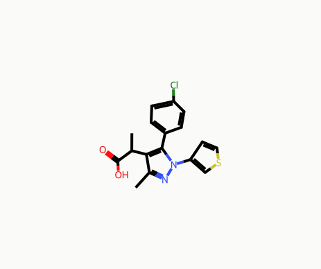 Cc1nn(-c2ccsc2)c(-c2ccc(Cl)cc2)c1C(C)C(=O)O